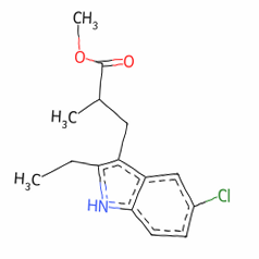 CCc1[nH]c2ccc(Cl)cc2c1CC(C)C(=O)OC